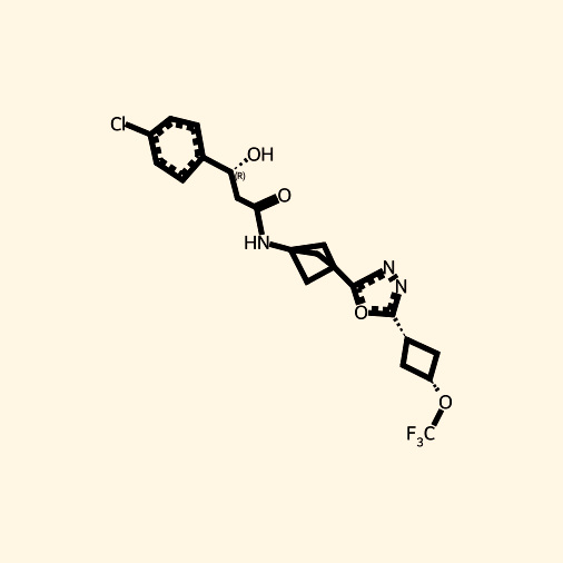 O=C(C[C@@H](O)c1ccc(Cl)cc1)NC12CC(c3nnc([C@H]4C[C@@H](OC(F)(F)F)C4)o3)(C1)C2